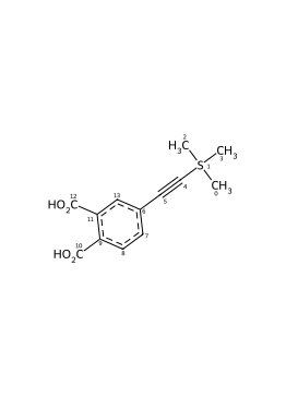 CS(C)(C)C#Cc1ccc(C(=O)O)c(C(=O)O)c1